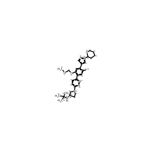 COCOc1cc(-c2cnn(C3CCCCO3)c2)c(F)cc1-c1ccc(N2CC[C@@H](NC(C)(C)C)C2)nn1